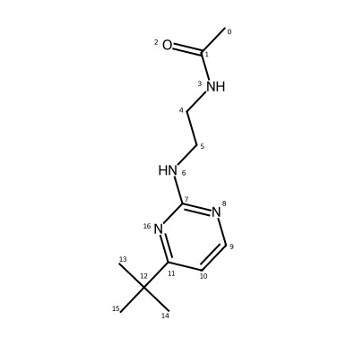 CC(=O)NCCNc1nccc(C(C)(C)C)n1